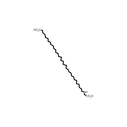 O=C(O)CCCCCCCCCCCCCCCCCCCCCCCCCCCCCCCCNCC(=O)O